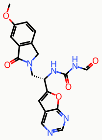 COc1ccc2c(c1)C(=O)N(C[C@H](NC(=O)NC=O)c1cc3cncnc3o1)C2